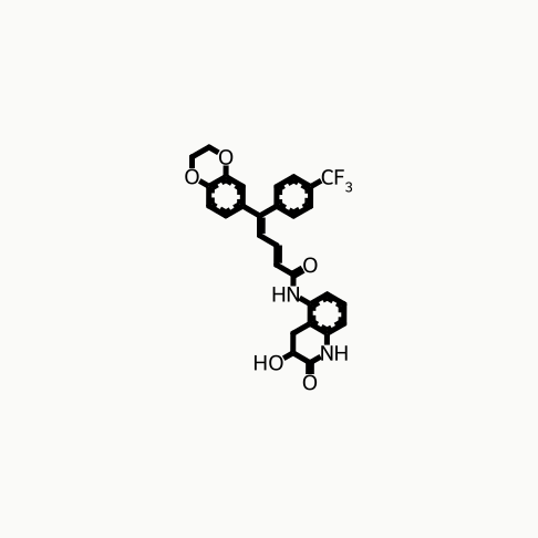 O=C(C=CC=C(c1ccc(C(F)(F)F)cc1)c1ccc2c(c1)OCCO2)Nc1cccc2c1CC(O)C(=O)N2